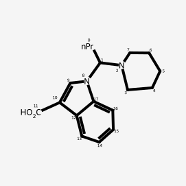 CCCC(N1CCCCC1)n1cc(C(=O)O)c2ccccc21